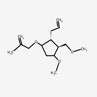 C=CC[C@H]1C(OCC(=C)C)CC(OC)[C@@H]1COC